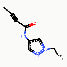 CC#CC(=O)Nc1cnn(CC(F)(F)F)c1